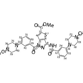 COC(=O)c1cc2c(s1)c(NC(=O)c1cccc(N3CCN(C)CC3)c1)nn2C(=O)c1cccc(N2CCN(C)CC2)c1